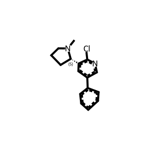 CN1CCC[C@H]1c1cc(-c2ccccc2)cnc1Cl